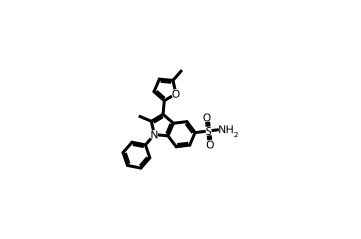 Cc1ccc(-c2c(C)n(-c3ccccc3)c3ccc(S(N)(=O)=O)cc23)o1